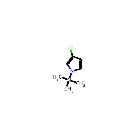 C[Si](C)(C)n1ccc(Cl)c1